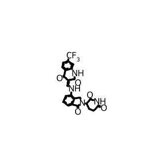 O=C1CCC(N2Cc3c(N/C=C4\C(=O)Nc5cc(C(F)(F)F)ccc5C4=O)cccc3C2=O)C(=O)N1